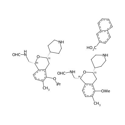 COc1c(C)ccc2c1C[C@@H](C1CCNCC1)O[C@H]2CNC=O.Cc1ccc2c(c1OC(C)C)C[C@@H](C1CCNCC1)O[C@H]2CNC=O.O=C(O)c1ccc2ccccc2c1